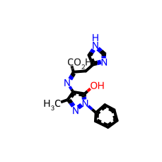 Cc1nn(-c2ccccc2)c(O)c1N=C(Cc1c[nH]cn1)C(=O)O